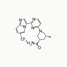 C[C@H]1C[C@@H](C(N)=O)CN(c2ccnc(-c3cnc4ccc(C(F)(F)F)cn34)n2)C1